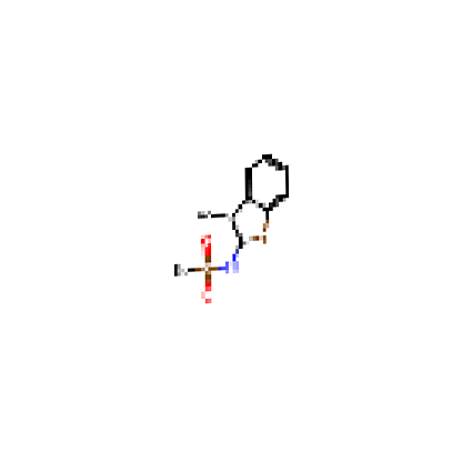 CCS(=O)(=O)NC1Sc2ccccc2C1C(C)=O